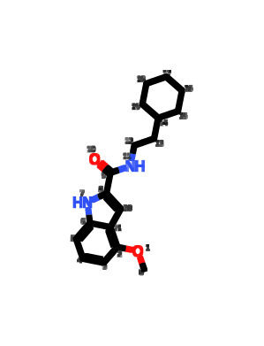 COc1cccc2[nH]c(C(=O)NCCC3CCCCC3)cc12